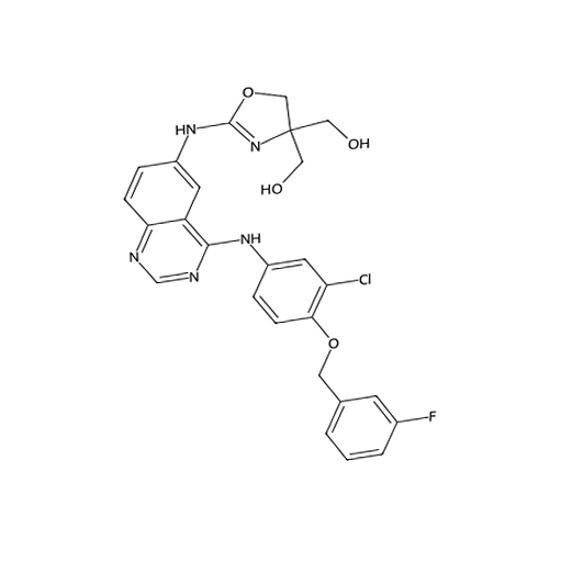 OCC1(CO)COC(Nc2ccc3ncnc(Nc4ccc(OCc5cccc(F)c5)c(Cl)c4)c3c2)=N1